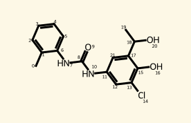 Cc1ccccc1NC(=O)Nc1cc(Cl)c(O)c(C(C)O)c1